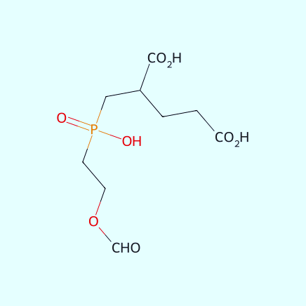 O=COCCP(=O)(O)CC(CCC(=O)O)C(=O)O